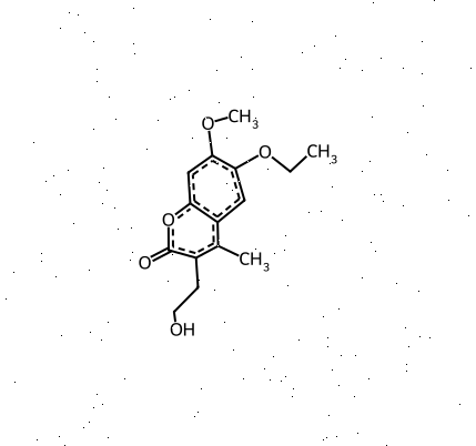 CCOc1cc2c(C)c(CCO)c(=O)oc2cc1OC